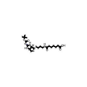 CC(C)(C)OC(=O)/N=C1/NC2CS[C@@H](CCCCNC(=O)CCCCCC(=O)O)[C@H]2N1